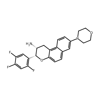 N[C@@H]1Cc2c(ccc3cc(N4CCOCC4)ccc23)O[C@@H]1c1cc(F)c(F)cc1F